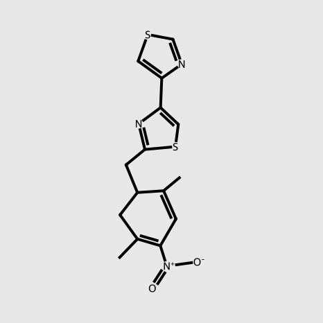 CC1=CC([N+](=O)[O-])=C(C)CC1Cc1nc(-c2cscn2)cs1